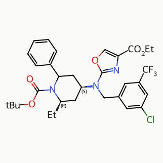 CCOC(=O)c1coc(N(Cc2cc(Cl)cc(C(F)(F)F)c2)[C@@H]2CC(c3ccccc3)N(C(=O)OC(C)(C)C)[C@H](CC)C2)n1